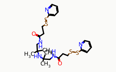 CC(C)(CNC(=O)CCSSc1ccccn1)NC(C)(C)CNC(=O)CCSSc1ccccn1